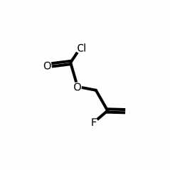 C=C(F)COC(=O)Cl